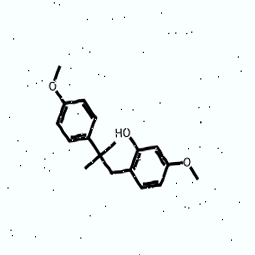 COc1ccc(C(C)(C)Cc2ccc(OC)cc2O)cc1